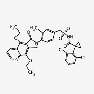 Cc1cc(CS(=O)(=O)NC(=O)C2(c3c(Cl)cccc3Cl)CC2)ccc1N1Cc2c(c(OCC(F)(F)F)c3cccnc3c2OCC(F)(F)F)C1=O